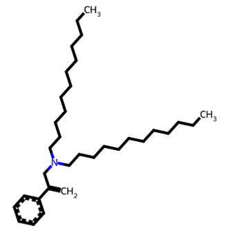 C=C(CN(CCCCCCCCCCCC)CCCCCCCCCCCC)c1ccccc1